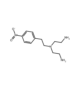 NCCN(CCN)CCc1ccc([N+](=O)[O-])cc1